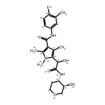 Cc1cc(NC(=O)c2c(C)c(C(O)C(=O)N[C@H]3CCOC[C@@H]3O)n(C)c2C)ccc1F